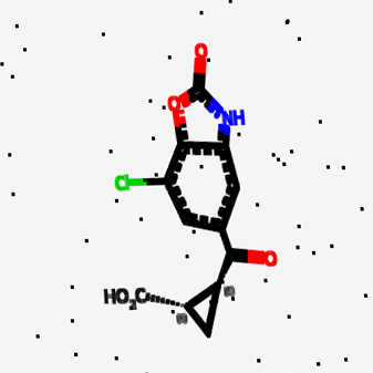 O=C(O)[C@H]1C[C@@H]1C(=O)c1cc(Cl)c2oc(=O)[nH]c2c1